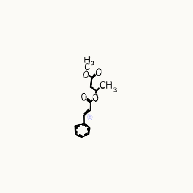 COC(=O)CC(C)OC(=O)/C=C/c1ccccc1